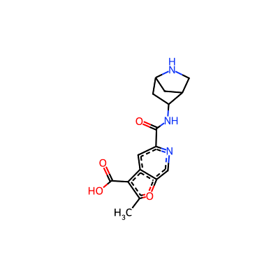 Cc1oc2cnc(C(=O)NC3CC4CC3CN4)cc2c1C(=O)O